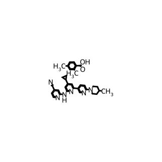 CC1CCN(c2ccc(-c3cc(C4CC4)cc(Nc4cc(C#N)ccn4)n3)cn2)CC1.Cc1ccc(C(=O)O)c(C)c1